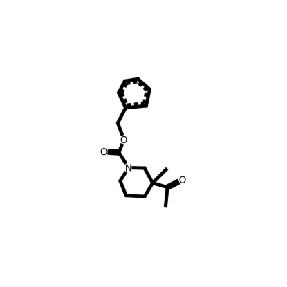 CC(=O)C1(C)CCCN(C(=O)OCc2ccccc2)C1